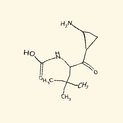 CC(C)(C)C(NC(=O)O)C(=O)C1CC1N